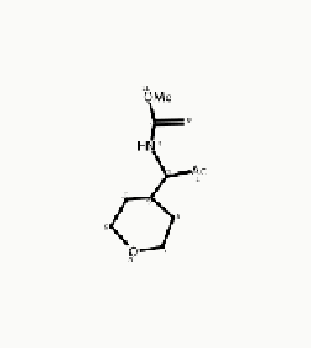 C=C(NC(C(C)=O)C1CCOCC1)OC